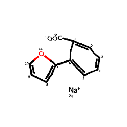 O=C([O-])c1ccccc1-c1ccco1.[Na+]